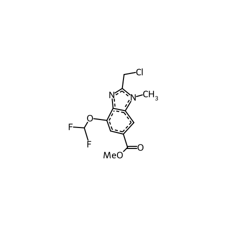 COC(=O)c1cc(OC(F)F)c2nc(CCl)n(C)c2c1